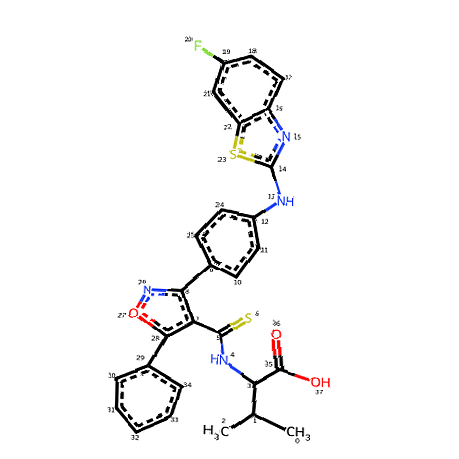 CC(C)C(NC(=S)c1c(-c2ccc(Nc3nc4ccc(F)cc4s3)cc2)noc1-c1ccccc1)C(=O)O